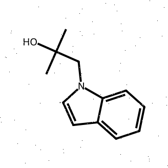 CC(C)(O)Cn1[c]cc2ccccc21